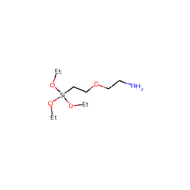 CCO[Si](CCOCCN)(OCC)OCC